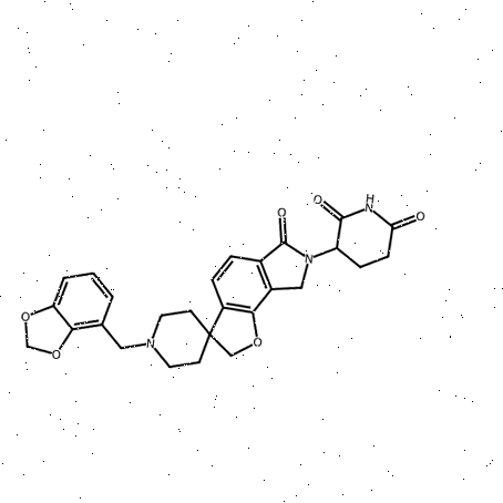 O=C1CCC(N2Cc3c(ccc4c3OCC43CCN(Cc4cccc5c4OCO5)CC3)C2=O)C(=O)N1